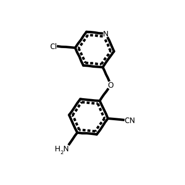 N#Cc1cc(N)ccc1Oc1cncc(Cl)c1